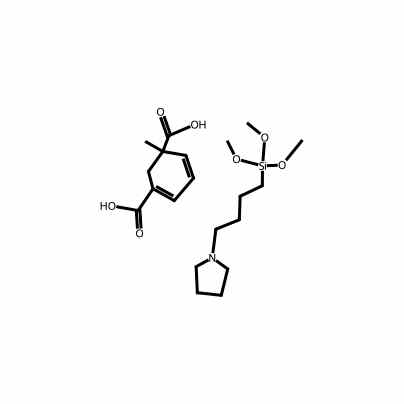 CC1(C(=O)O)C=CC=C(C(=O)O)C1.CO[Si](CCCCN1CCCC1)(OC)OC